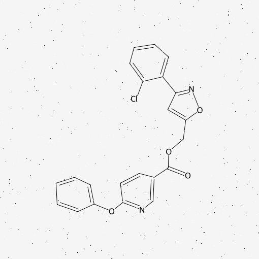 O=C(OCc1cc(-c2ccccc2Cl)no1)c1ccc(Oc2ccccc2)nc1